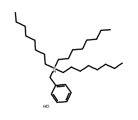 CCCCCCCC[PH](CCCCCCCC)(CCCCCCCC)Cc1ccccc1.Cl